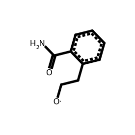 NC(=O)c1ccccc1CC[O]